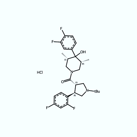 C[C@@H]1CN(C(=O)[C@@H]2CN(C(C)(C)C)C[C@H]2c2ccc(F)cc2F)C[C@H](C)C1(O)c1ccc(F)c(F)c1.Cl